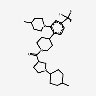 CC1CCC(N2CCC(C(=O)N3CCC(c4ccc(C(F)(F)F)cc4N4CCC(C)CC4)CC3)C2)CC1